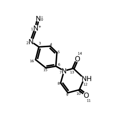 [N-]=[N+]=Nc1ccc(-n2ccc(=O)[nH]c2=O)cc1